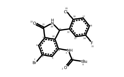 CC(C)(C)C(=O)Nc1cc(Br)cc2c1C(c1cc(F)ccc1Cl)NC2=O